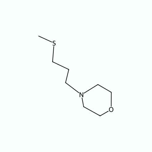 CSCCCN1CCOCC1